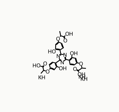 CC(Oc1ccc(-c2nc(-c3ccc(OC(C)C(=O)O)cc3O)nc(-c3ccc(OC(C)C(=O)O)cc3O)n2)c(O)c1)C(=O)O.[KH].[KH].[KH]